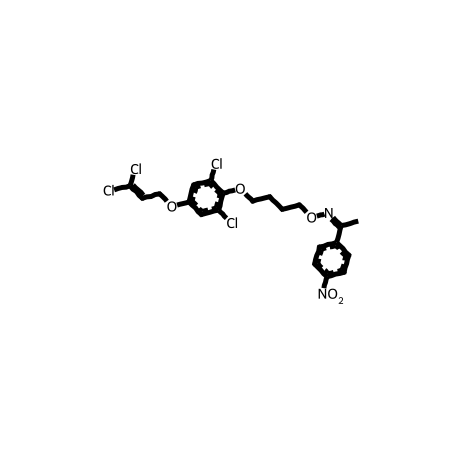 CC(=NOCCCCOc1c(Cl)cc(OCC=C(Cl)Cl)cc1Cl)c1ccc([N+](=O)[O-])cc1